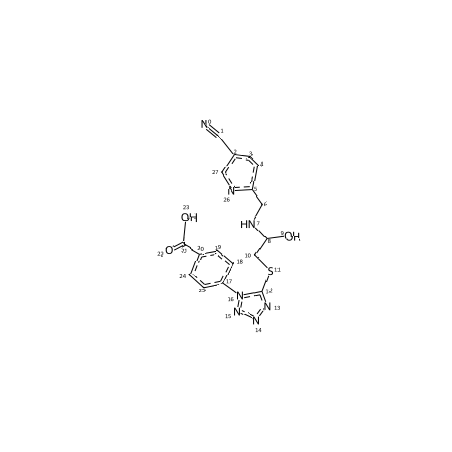 N#Cc1ccc(CNC(O)CSc2nnnn2-c2ccc(C(=O)O)cc2)nc1